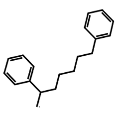 [CH2]C(CCCCCc1ccccc1)c1ccccc1